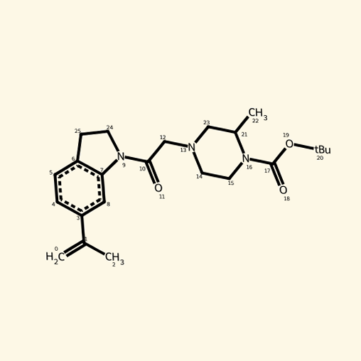 C=C(C)c1ccc2c(c1)N(C(=O)CN1CCN(C(=O)OC(C)(C)C)C(C)C1)CC2